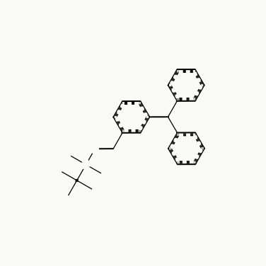 CC(C)(C)[Si](C)(C)OCc1cccc(C(c2ccccc2)c2ccccc2)c1